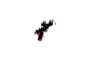 Cc1cc(-n2nc3c(c2-n2ccn(-c4ccc5c(cnn5C)c4F)c2=O)[C@H](C)N(C(=O)c2cn4cc(-c5ccnc(C(F)(F)F)c5)ccc4c2Cc2noc(=O)[nH]2)CC3)cc(C)c1F